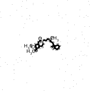 COc1cc2c(cc1OC)CC(=O)N(CCCN(C)CCc1csc3c1CCCC3)CC2